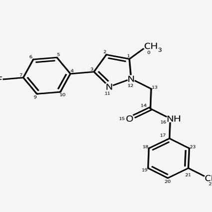 Cc1cc(-c2ccc(F)cc2)nn1CC(=O)Nc1cccc(C#N)c1